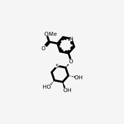 COC(=O)c1cncc(O[C@H]2SC[C@@H](O)[C@H](O)[C@H]2O)c1